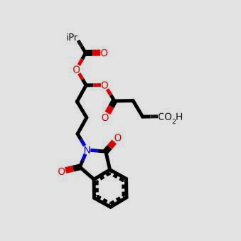 CC(C)C(=O)OC(CCCN1C(=O)c2ccccc2C1=O)OC(=O)CCC(=O)O